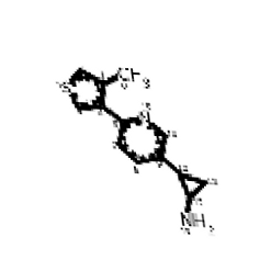 Cc1cscc1-c1ccc(C2CC2N)cn1